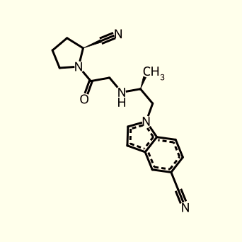 C[C@@H](Cn1ccc2cc(C#N)ccc21)NCC(=O)N1CCC[C@H]1C#N